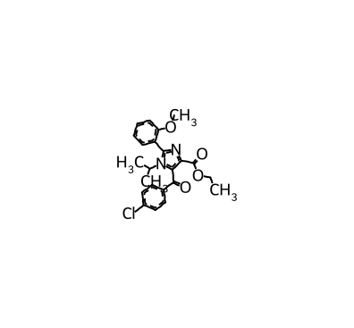 CCOC(=O)c1nc(-c2ccccc2OC)n(C(C)C)c1C(=O)c1ccc(Cl)cc1